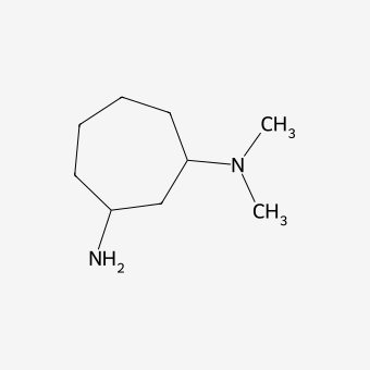 CN(C)C1CCCCC(N)C1